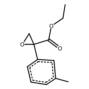 CCOC(=O)C1(c2cccc(C)c2)CO1